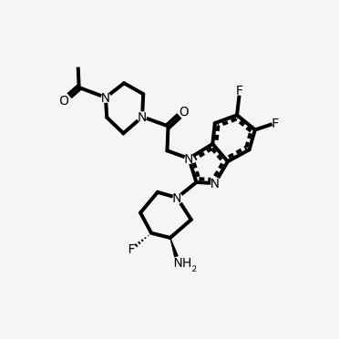 CC(=O)N1CCN(C(=O)Cn2c(N3CC[C@@H](F)[C@H](N)C3)nc3cc(F)c(F)cc32)CC1